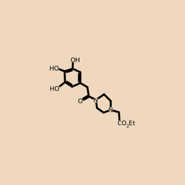 CCOC(=O)CN1CCN(C(=O)Cc2cc(O)c(O)c(O)c2)CC1